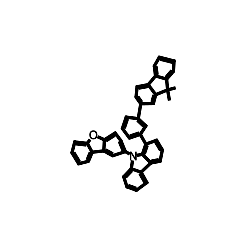 CC1(C)c2ccccc2-c2ccc(-c3cccc(-c4cccc5c6ccccc6n(-c6ccc7oc8ccccc8c7c6)c45)c3)cc21